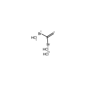 C=C(Br)Br.Cl.Cl.Cl